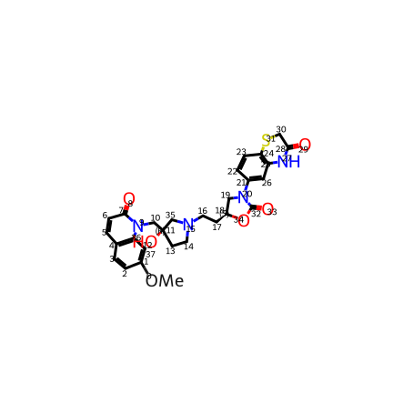 COc1ccc2ccc(=O)n(C[C@@]3(O)CCN(CC[C@H]4CN(c5ccc6c(c5)NC(=O)CS6)C(=O)O4)C3)c2c1